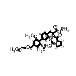 COCCOCc1cc(OC)c(-c2ccc(CC(NC(=O)C3CCCN3C(=O)O)C(=O)OC)cc2)c(OC)c1